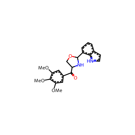 COc1cc(C(=O)C2COC(c3cccc4cc[nH]c34)N2)cc(OC)c1OC